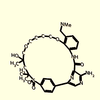 CNCc1cccc2c1OCCCCOCC(C)(O)CC(C)(C)S(=O)(=O)c1ccc(cc1)-c1cnc(N)c(n1)C(=O)N2